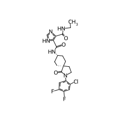 CCNC(=O)c1nc[nH]c1C(=O)N[C@H]1CC[C@@]2(CCN(c3cc(F)c(F)cc3Cl)C2=O)CC1